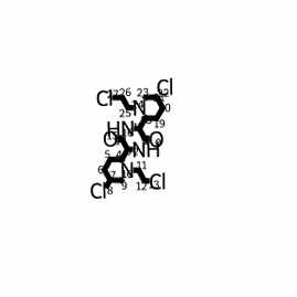 O=C1NC(C2CCC(Cl)CN2CCCl)C(=O)NC1C1CCC(Cl)CN1CCCl